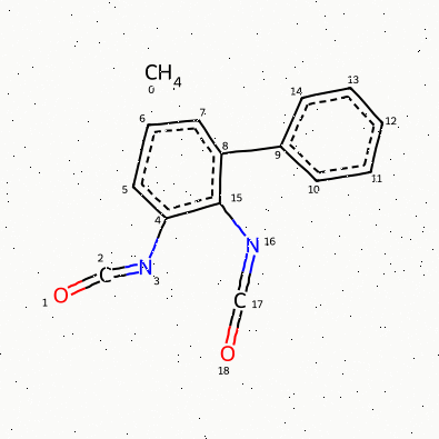 C.O=C=Nc1cccc(-c2ccccc2)c1N=C=O